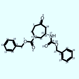 O=C1CCN(C(=O)OCc2ccccc2)C[C@@H](NC(=O)OCc2ccccc2)C1